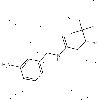 C=C(C[C@@H](C)C(C)(C)C)NCc1cccc(N)c1